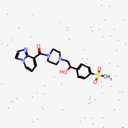 CS(=O)(=O)c1ccc(C(O)CN2CCN(C(=O)c3cccn4ccnc34)CC2)cc1